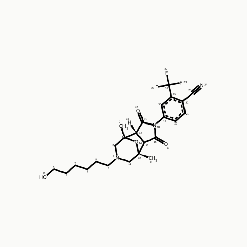 C[C@]12CN(CCCCCCO)C[C@](C)(O1)C1C(=O)N(c3ccc(C#N)c(C(F)(F)F)c3)C(=O)[C@H]12